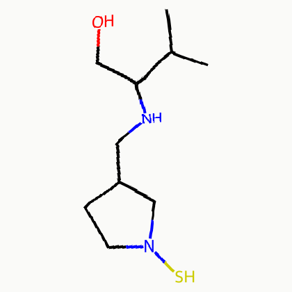 CC(C)C(CO)NCC1CCN(S)C1